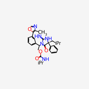 Cc1ncoc1-c1cccc(C(COC(=O)NC(C)C)N2C(=N)N[C@](CC(C)C)(c3ccccc3)C2=O)c1